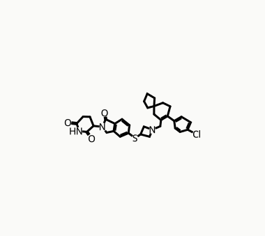 O=C1CCC(N2Cc3cc(SC4CN(CC5=C(c6ccc(Cl)cc6)CCC6(CCCC6)C5)C4)ccc3C2=O)C(=O)N1